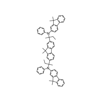 CCC(C)(c1ccc2c(c1)C(C)(C)c1cc(C(C)(CC)N(c3ccccc3)c3ccc4c(c3)C(C)(C)c3ccccc3-4)ccc1-2)N(c1ccccc1)c1ccc2c(c1)C(C)(C)c1ccccc1-2